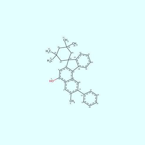 Cc1cc2c(O)cc3c(c2cc1-c1ccccc1)-c1ccccc1C31CC(C)(C)CC(C)(C)C1